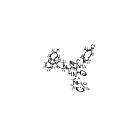 O=C(NCCN1CCOCC1)c1c(CN2CCC(c3ccccc3)(c3ccccc3)CC2)ncn1Cc1ccc(Cl)cc1